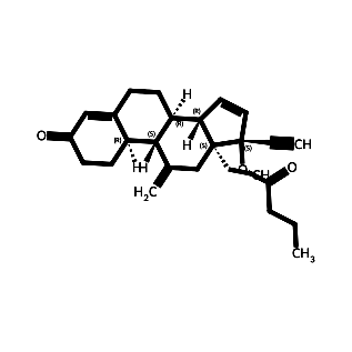 C#C[C@]1(OC(=O)CCC)C=C[C@H]2[C@@H]3CCC4=CC(=O)CC[C@@H]4[C@H]3C(=C)C[C@@]21CC